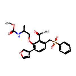 COC(=O)c1c(CS(=O)(=O)c2ccccc2)ccc(-c2ccoc2)c1OCC(C)NC(=O)OC(C)(C)C